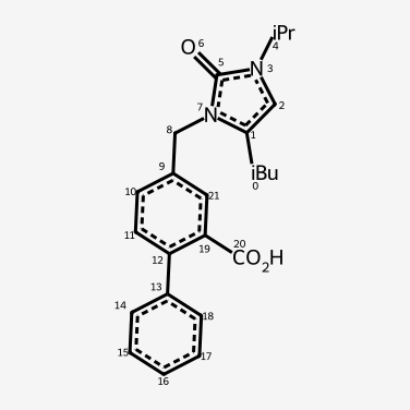 CCC(C)c1cn(C(C)C)c(=O)n1Cc1ccc(-c2ccccc2)c(C(=O)O)c1